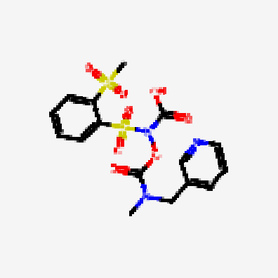 CN(Cc1cccnc1)C(=O)ON(C(=O)O)S(=O)(=O)c1ccccc1S(C)(=O)=O